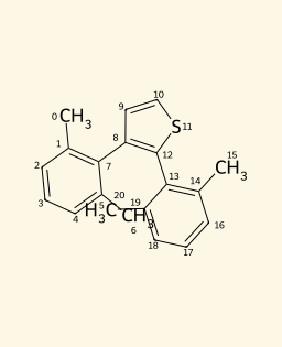 Cc1cccc(C)c1-c1ccsc1-c1c(C)cccc1C